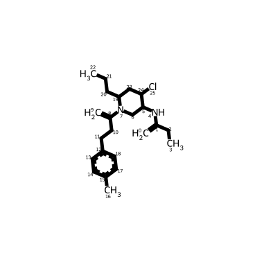 C=C(CC)NC1CN(C(=C)CCc2ccc(C)cc2)C(CCC)CC1Cl